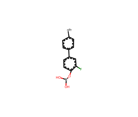 CCCc1ccc(-c2ccc(OB(O)O)c(F)c2)cc1